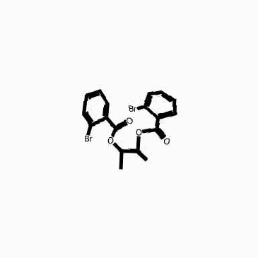 CC(OC(=O)c1ccccc1Br)C(C)OC(=O)c1ccccc1Br